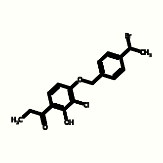 CCC(=O)c1ccc(OCc2ccc(C(C)Br)cc2)c(Cl)c1O